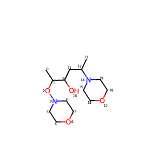 CC(ON1CCOCC1)C(O)CC(C)N1CCOCC1